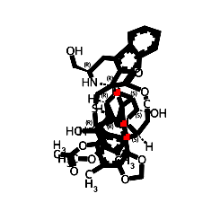 COc1c(C)cc2c(c1O)[C@@H]1[C@@H]3[C@@H]4SC[C@]5(N[C@@H](CO)Cc6c5oc5ccccc65)C(=O)OCC[C@@H](c5c6c(c(C)c(OC(C)=O)c54)OCO6)N3[C@@H](O)[C@H]3N1C23C